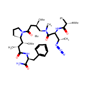 CC[C@H](C)[C@@H]([C@@H](CC(=O)N1CCC[C@H]1[C@H](OC)[C@@H](C)C(=O)N[C@@H](Cc1ccccc1)C(N)=O)OC)N(C)C(=O)[C@@H](NC(=O)[C@@H](NC)C(C)C)[C@H](C)N=[N+]=[N-]